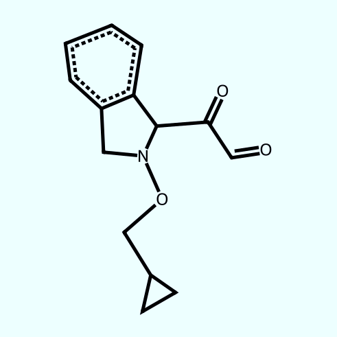 O=CC(=O)C1c2ccccc2CN1OCC1CC1